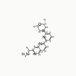 CC(N)c1cc2nc(-c3cccc(N4C[C@@H](C)O[C@@H](C)C4)n3)ccc2cn1